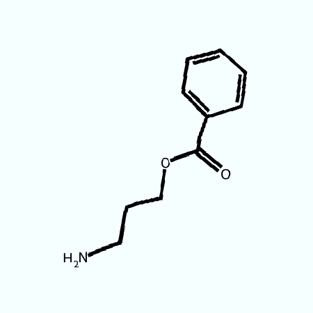 NCCCOC(=O)c1ccccc1